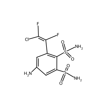 Nc1cc(C(F)=C(F)Cl)c(S(N)(=O)=O)c(S(N)(=O)=O)c1